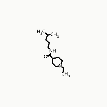 CCN1CCC(C(=O)NCCCC(C)C)CC1